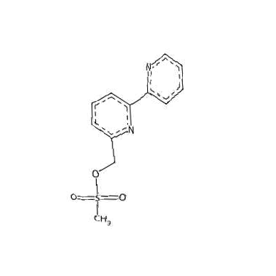 CS(=O)(=O)OCc1cccc(-c2ccccn2)n1